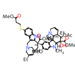 CCC1=C[C@H]2CN(C1)Cc1c([nH]c3ccc(SCCC(=O)OC)cc13)[C@@](C(=O)OC)(c1cc3c(cc1OC)N(C)[C@H]1[C@@](O)(C(=O)OC)[C@H](OC(C)=O)[C@]4(CC)C=CCN5CC[C@]31[C@@H]54)C2